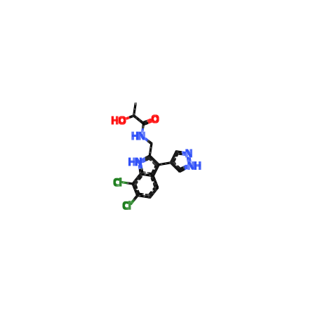 CC(O)C(=O)NCc1[nH]c2c(Cl)c(Cl)ccc2c1-c1cn[nH]c1